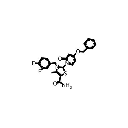 CC1=C(C(N)=O)SC(n2ccc(OCc3ccccc3)cc2=O)N1Cc1ccc(F)c(F)c1